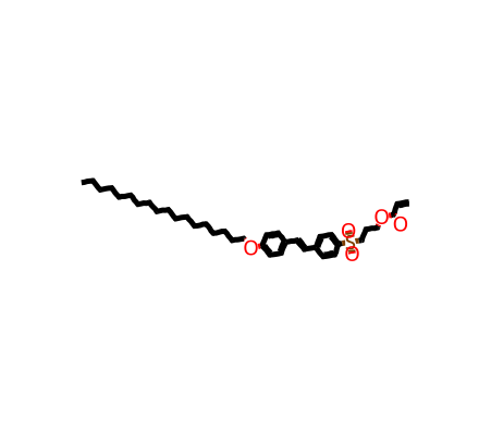 C=CC(=O)OCCCS(=O)(=O)c1ccc(C=Cc2ccc(OCCCCCCCCCCCCCCCCCC)cc2)cc1